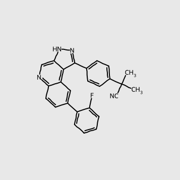 CC(C)(C#N)c1ccc(-c2n[nH]c3cnc4ccc(-c5ccccc5F)cc4c23)cc1